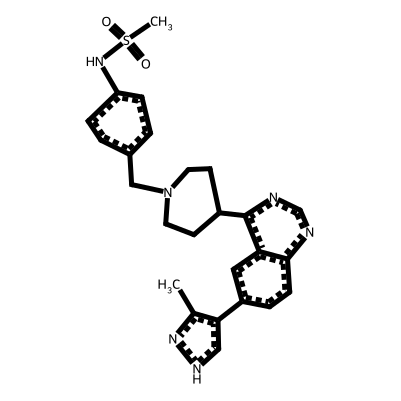 Cc1n[nH]cc1-c1ccc2ncnc(C3CCN(Cc4ccc(NS(C)(=O)=O)cc4)CC3)c2c1